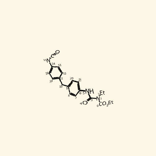 CCOC(=O)N(CC)C(=O)Nc1ccc(Cc2ccc(N=C=O)cc2)cc1